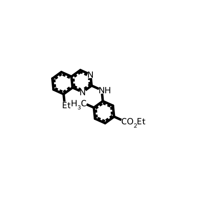 CCOC(=O)c1ccc(C)c(Nc2ncc3cccc(CC)c3n2)c1